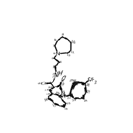 O=C(NCCCN1CCCCCC1)c1cc2ccccc2n(-c2cccc(C(F)(F)F)c2)c1=O